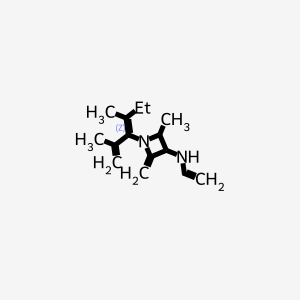 C=CNC1C(=C)N(/C(C(=C)C)=C(/C)CC)C1C